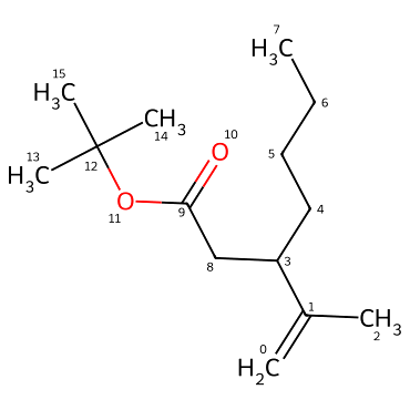 C=C(C)C(CCCC)CC(=O)OC(C)(C)C